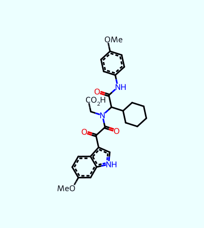 COc1ccc(NC(=O)C(C2CCCCC2)N(CC(=O)O)C(=O)C(=O)c2c[nH]c3cc(OC)ccc23)cc1